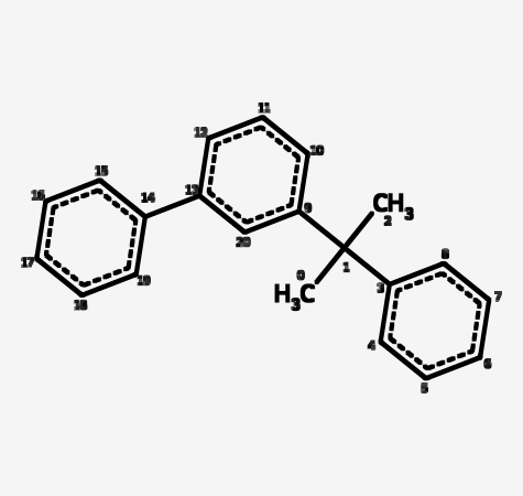 CC(C)(c1ccccc1)c1cccc(-c2ccccc2)c1